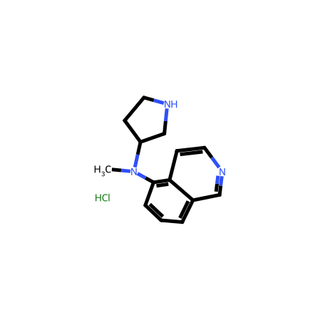 CN(c1cccc2cnccc12)C1CCNC1.Cl